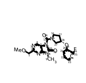 COCc1ncc2c(n1)n(C)c(=O)n2C(=O)N1CC[C@H](Oc2ccccc2F)C1